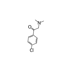 CN(C)CC(=O)c1ccc(Cl)cc1